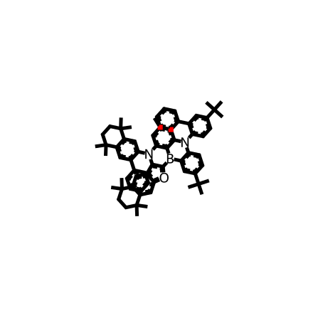 Cc1cc2c3c(c1)N(c1cc4c(cc1-c1ccccc1)C(C)(C)CCC4(C)C)c1c(oc4cc5c(cc14)C(C)(C)CCC5(C)C)B3c1cc(C(C)(C)C)ccc1N2c1ccc(C(C)(C)C)cc1-c1ccccc1